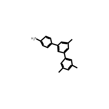 Cc1cc(C)cc(-c2cc(C)cc(-c3ccc(P)cc3)c2)c1